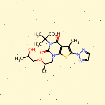 CC[C@H](Cn1c(=O)n(C(C)(C)C(=O)O)c(=O)c2c(C)c(-n3nccn3)sc21)OC[C@@H](C)O